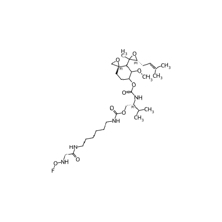 COC1C(OC(=O)N[C@@H](COC(=O)NCCCCCCNC(=O)CNOF)C(C)C)CC[C@]2(CO2)C1C1(C)O[C@@H]1CC=C(C)C